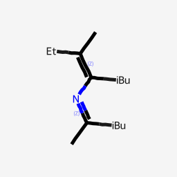 CC/C(C)=C(\N=C(\C)C(C)CC)C(C)CC